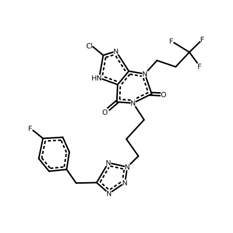 O=c1c2[nH]c(Cl)nc2n(CCC(F)(F)F)c(=O)n1CCCn1nnc(Cc2ccc(F)cc2)n1